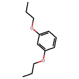 CCCOc1[c]c(OCCC)ccc1